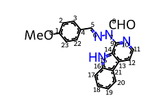 COc1ccc(C=NN(C=O)c2nccc3c2[nH]c2ccccc23)cc1